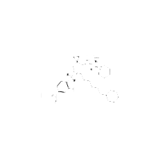 CCCCN(CC1(CN(CCCCCCC2CCCCC2)S(=O)(=O)c2ccc(N(C)C)cc2F)CC1)S(=O)(=O)N1CCCCC1